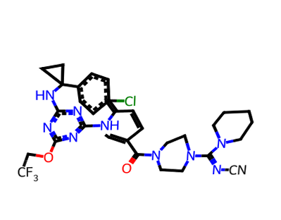 C=C(/C=C\C(=C/C)C(=O)N1CCN(/C(=N/C#N)N2CCCCC2)CC1)Nc1nc(NC2(c3ccc(Cl)cc3)CC2)nc(OCC(F)(F)F)n1